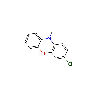 CN1c2ccccc2Oc2cc(Cl)ccc21